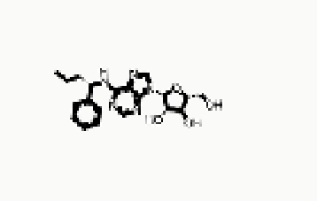 CCC[C@H](Nc1ncnc2c1ncn2[C@@H]1O[C@H](CO)C(O)[C@@H]1O)c1ccccc1